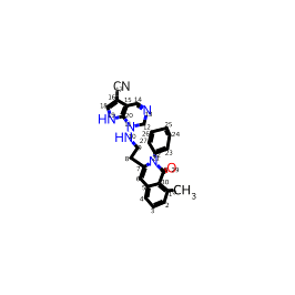 Cc1cccc2cc(CCNN3CN=Cc4c(C#N)c[nH]c43)n(-c3ccccc3)c(=O)c12